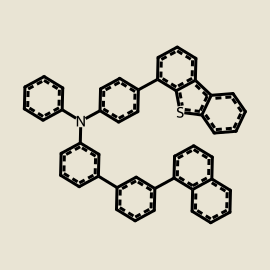 c1ccc(N(c2ccc(-c3cccc4c3sc3ccccc34)cc2)c2cccc(-c3cccc(-c4cccc5ccccc45)c3)c2)cc1